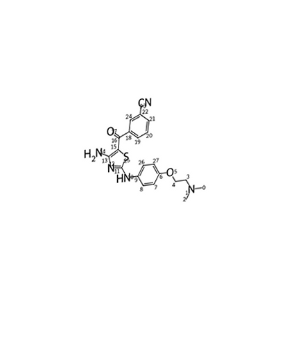 CN(C)CCOc1ccc(Nc2nc(N)c(C(=O)c3cccc(C#N)c3)s2)cc1